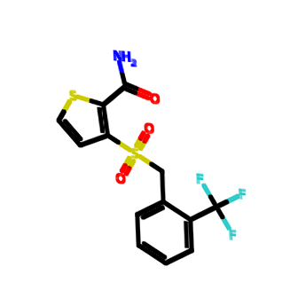 NC(=O)c1sccc1S(=O)(=O)Cc1ccccc1C(F)(F)F